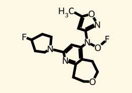 Cc1cc(N(OF)c2cc(N3CCC(F)CC3)nc3c2CCOCC3)no1